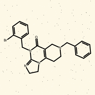 O=C1C2=C(CCN(Cc3ccccc3)C2)N2CCN=C2N1Cc1ccccc1Br